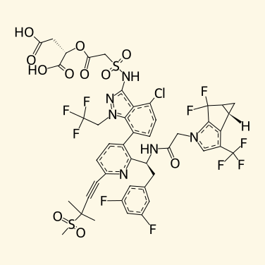 CC(C)(C#Cc1ccc(-c2ccc(Cl)c3c(NS(=O)(=O)CC(=O)O[C@@H](CC(=O)O)C(=O)O)nn(CC(F)(F)F)c23)c([C@H](Cc2cc(F)cc(F)c2)NC(=O)Cn2cc(C(F)(F)F)c3c2C(F)(F)C2C[C@H]32)n1)S(C)(=O)=O